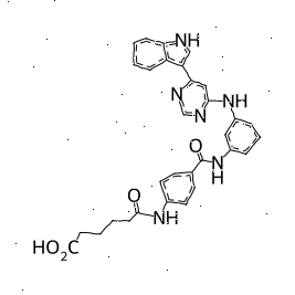 O=C(O)CCCCC(=O)Nc1ccc(C(=O)Nc2cccc(Nc3cc(-c4c[nH]c5ccccc45)ncn3)c2)cc1